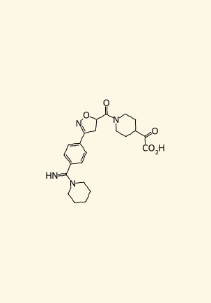 N=C(c1ccc(C2=NOC(C(=O)N3CCC(C(=O)C(=O)O)CC3)C2)cc1)N1CCCCC1